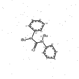 CCC(C)N(C(=O)N(c1ccccc1)C(C)CC)c1ccccc1